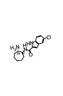 N[C@H]1CCCCC[C@@H]1NC(=O)c1cc2cc(Cl)ccc2[nH]1